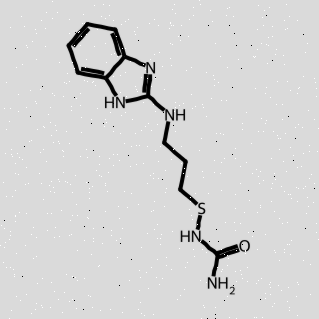 NC(=O)NSCCCNc1nc2ccccc2[nH]1